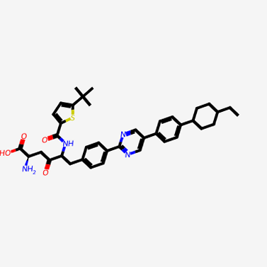 CCC1CCC(c2ccc(-c3cnc(-c4ccc(CC(NC(=O)c5ccc(C(C)(C)C)s5)C(=O)C[C@@H](N)C(=O)O)cc4)nc3)cc2)CC1